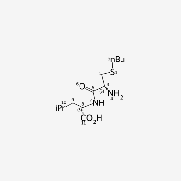 CCCCSC[C@@H](N)C(=O)N[C@@H](CC(C)C)C(=O)O